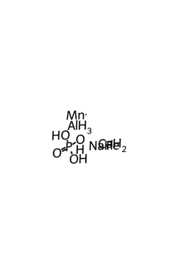 O=P(O)(O)O.[AlH3].[CaH2].[Fe].[Mn].[NaH]